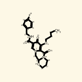 CCCCOc1c2n(cc(C(=O)NCc3ccc(F)cc3)c1=O)CC1OCCCN1C2=O